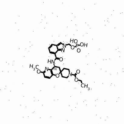 CCOC(=O)N1CCC2(CC1)C[C@H](NC(=O)c1cccc3cn(COP(=O)(O)O)nc13)c1nc(OC)ccc1O2